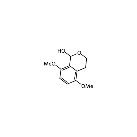 COc1ccc(OC)c2c1CCOC2O